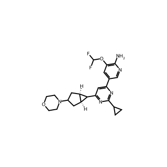 Nc1ncc(-c2cc(C3[C@H]4CC(N5CCOCC5)C[C@@H]34)nc(C3CC3)n2)cc1OC(F)F